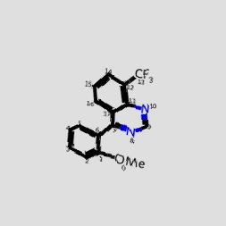 COc1ccccc1-c1ncnc2c(C(F)(F)F)cccc12